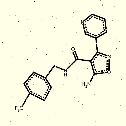 Nc1onc(-c2cccnc2)c1C(=O)NCc1ccc(C(F)(F)F)cc1